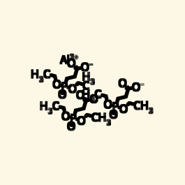 CCOP(=O)(CCC(=O)[O-])OCC.CCOP(=O)(CCC(=O)[O-])OCC.CCOP(=O)(CCC(=O)[O-])OCC.[Al+3]